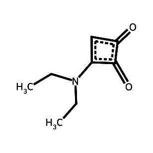 CCN(CC)c1cc(=O)c1=O